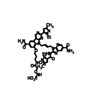 CCn1nc(C)cc1C(=O)Nc1nc2cc(C(N)=O)cnc2n1CC=CCn1c2nc(-c3cc(C)nn3CC)ncc2c2cc(C(N)=O)cc(OCCCN(C)C(=O)CONC(=O)O)c21